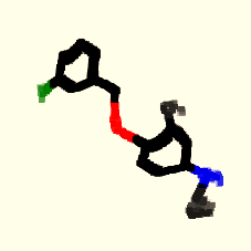 CC(C)(C)Nc1ccc(OCc2cccc(F)c2)c(C(F)(F)F)c1